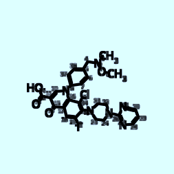 CON(C)Cc1ccc(-n2cc(C(=O)O)c(=O)c3cc(F)c(N4CCN(c5ncccn5)CC4)c(Cl)c32)cc1